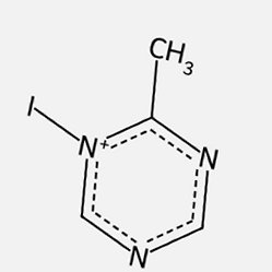 Cc1ncnc[n+]1I